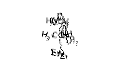 CCN(CC)CCCCc1c(C)[nH]c(C=C2NC=CN=C2C2C=NNC2=O)c1C